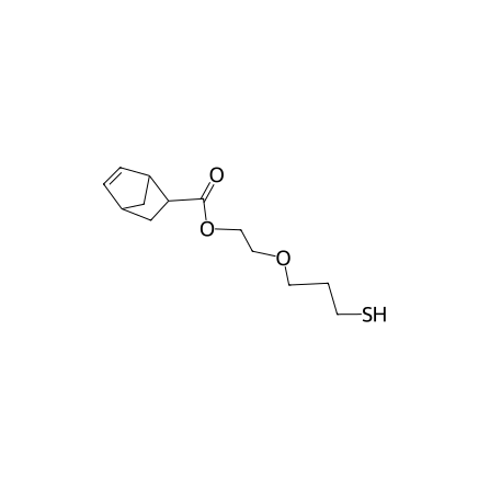 O=C(OCCOCCCS)C1CC2C=CC1C2